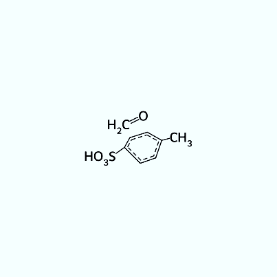 C=O.Cc1ccc(S(=O)(=O)O)cc1